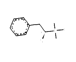 N[C@@H](Cc1ccccc1)[B-](F)(F)F